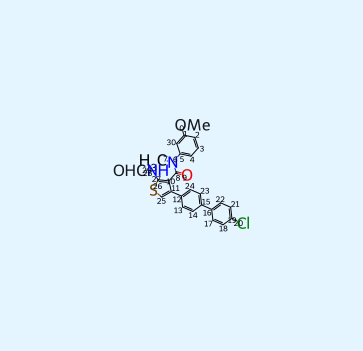 COc1cccc(N(C)C(=O)c2c(-c3ccc(-c4ccc(Cl)cc4)cc3)csc2NC=O)c1